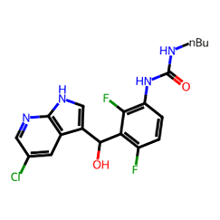 CCCCNC(=O)Nc1ccc(F)c(C(O)c2c[nH]c3ncc(Cl)cc23)c1F